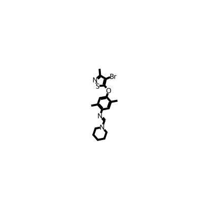 Cc1cc(Oc2snc(C)c2Br)c(C)cc1/N=C/N1CCCCC1